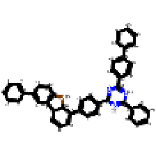 C1=CC2c3cc(-c4ccccc4)ccc3SC2C(c2ccc(-c3nc(-c4ccccc4)nc(-c4ccc(-c5ccccc5)cc4)n3)cc2)=C1